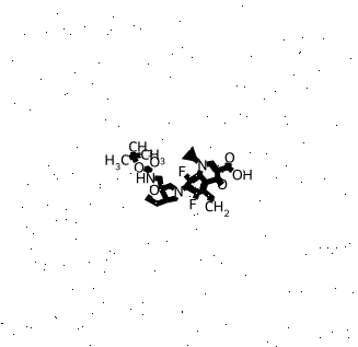 C=Cc1c(F)c(N2CC3CCOC3(CNC(=O)OC(C)(C)C)C2)c(F)c2c1c(=O)c(C(=O)O)cn2C1CC1